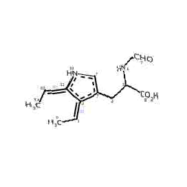 C/C=c1/c(CC(NC=O)C(=O)O)c[nH]/c1=C/C